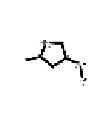 CC(=O)NC1CNC(C)C1